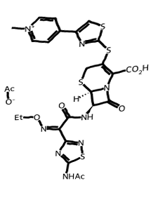 CC(=O)[O-].CCO/N=C(\C(=O)N[C@@H]1C(=O)N2C(C(=O)O)=C(Sc3nc(-c4cc[n+](C)cc4)cs3)CS[C@H]12)c1nsc(NC(C)=O)n1